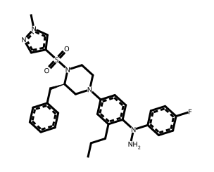 CCCc1cc(N2CCN(S(=O)(=O)c3cnn(C)c3)[C@H](Cc3ccccc3)C2)ccc1N(N)c1ccc(F)cc1